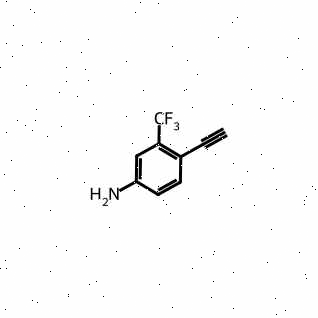 C#Cc1ccc(N)cc1C(F)(F)F